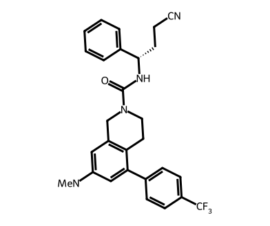 CNc1cc2c(c(-c3ccc(C(F)(F)F)cc3)c1)CCN(C(=O)N[C@@H](CCC#N)c1ccccc1)C2